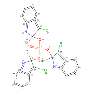 O=P(OC1(Br)N=c2ccccc2=C1Cl)(OC1(Br)N=c2ccccc2=C1Cl)OC1(Br)N=c2ccccc2=C1Cl